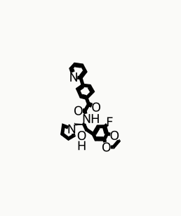 O=C(N[C@H](CN1CCCC1)[C@@H](O)c1cc(F)c2c(c1)OCCO2)C(=O)c1ccc(-c2ccccn2)cc1